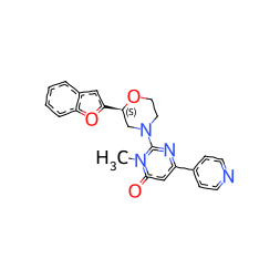 Cn1c(N2CCO[C@H](c3cc4ccccc4o3)C2)nc(-c2ccncc2)cc1=O